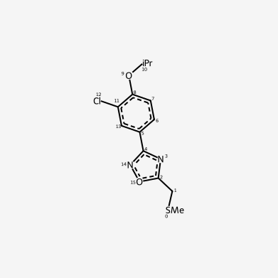 CSCc1nc(-c2ccc(OC(C)C)c(Cl)c2)no1